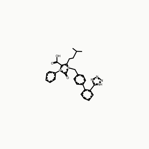 CC(C)CCc1c(C(=O)O)n(-c2ccccc2)c(=O)n1Cc1ccc(-c2ccccc2-c2nnn[nH]2)cc1